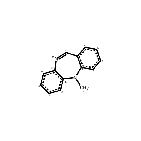 [CH2]N1c2ccccc2C=Nc2ccccc21